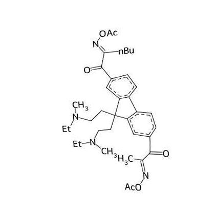 CCCC/C(=N\OC(C)=O)C(=O)c1ccc2c(c1)C(CCN(C)CC)(CCN(C)CC)c1cc(C(=O)/C(C)=N/OC(C)=O)ccc1-2